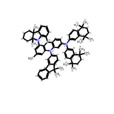 Cc1cc2c3c(c1)N1c4c(cccc4C4(C)CCCCC14C)B3c1ccc(N(c3ccc4c(c3)C(C)(C)CCC4(C)C)c3ccc4c(c3)C(C)(C)CCC4(C)C)cc1N2c1ccc2c(c1)-c1ccccc1C2(C)C